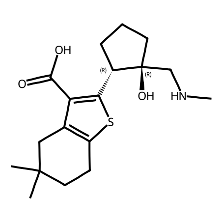 CNC[C@@]1(O)CCC[C@H]1c1sc2c(c1C(=O)O)CC(C)(C)CC2